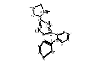 c1ccc(-c2ccccc2-c2cnc([C@H]3CSCN3)[nH]2)cc1